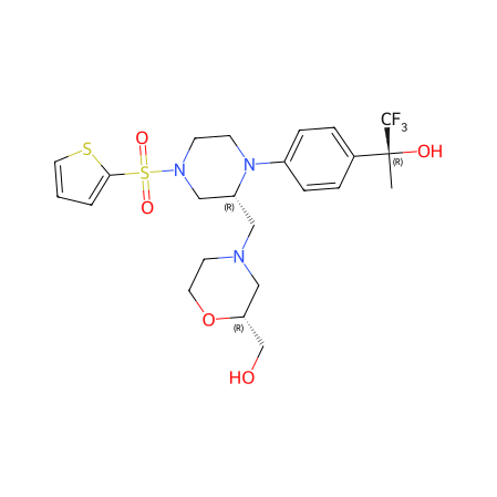 C[C@@](O)(c1ccc(N2CCN(S(=O)(=O)c3cccs3)C[C@H]2CN2CCO[C@@H](CO)C2)cc1)C(F)(F)F